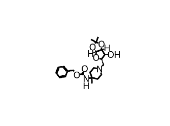 CC1(NC(=O)OCc2ccccc2)CCN(C[C@H]2O[C@@H]3OC(C)(C)O[C@@H]3[C@@H]2O)CC1